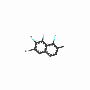 CCCc1cc2ccc(C)c(F)c2c(F)c1F